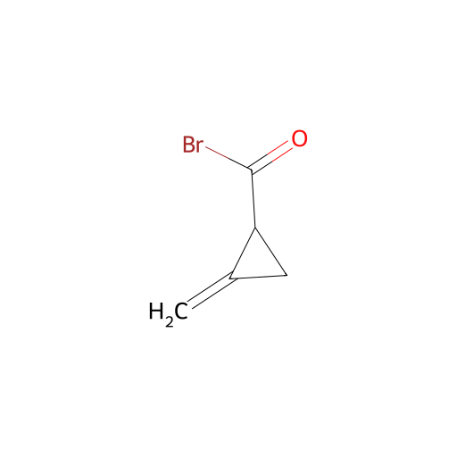 C=C1CC1C(=O)Br